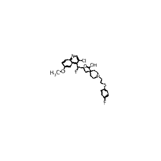 COc1ccc2ncc(Cl)c(C(F)CCC3(C(=O)O)CCN(CCSc4ccc(F)cc4)CC3)c2c1